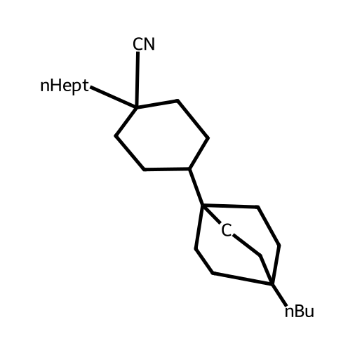 CCCCCCCC1(C#N)CCC(C23CCC(CCCC)(CC2)CC3)CC1